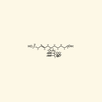 C#CC(=O)[O-].C#CC(=O)[O-].CC(=O)[O-].CCCCCCCCCCCCCCCCC=CCC(=O)O.[Al+3]